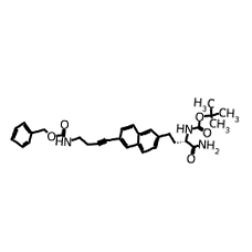 CC(C)(C)OC(=O)N[C@@H](CCc1ccc2cc(C#CCCNC(=O)OCc3ccccc3)ccc2c1)C(N)=O